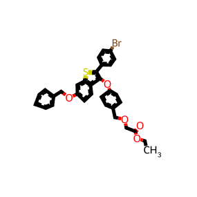 CCOC(=O)COCc1ccc(Oc2c(-c3ccc(Br)cc3)sc3cc(OCc4ccccc4)ccc23)cc1